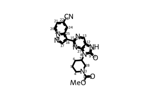 COC(=O)N1CCCC(n2c(=O)[nH]c3cnc(-c4cnn5ccc(C#N)cc45)nc32)C1